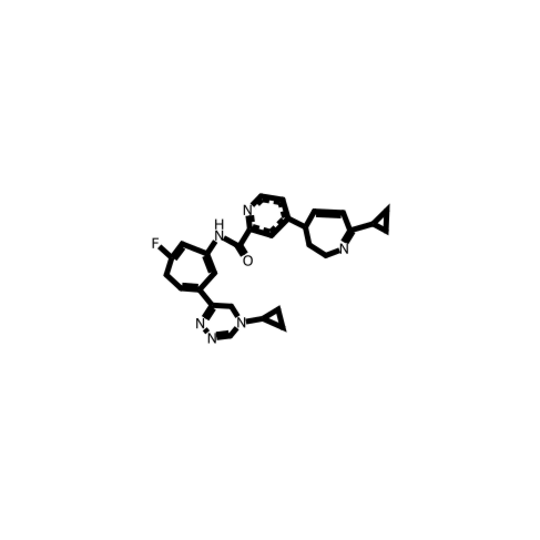 O=C(NC1=CC(C2=NN=CN(C3CC3)C2)=CCC(F)=C1)c1cc(C2C=CC(C3CC3)=NCC2)ccn1